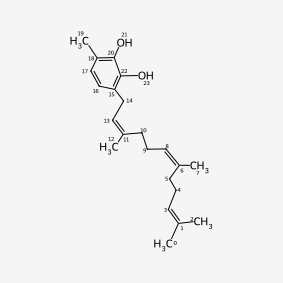 CC(C)=CCCC(C)=CCCC(C)=CCc1ccc(C)c(O)c1O